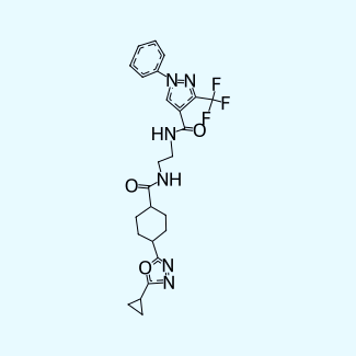 O=C(NCCNC(=O)C1CCC(c2nnc(C3CC3)o2)CC1)c1cn(-c2ccccc2)nc1C(F)(F)F